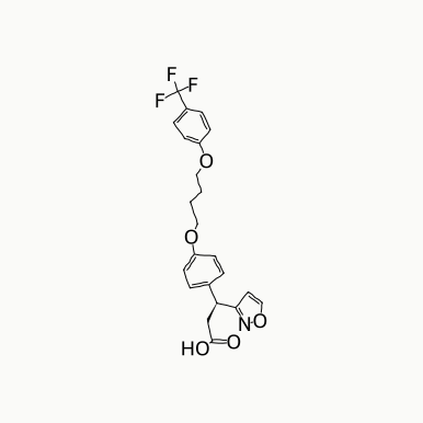 O=C(O)C[C@@H](c1ccc(OCCCCOc2ccc(C(F)(F)F)cc2)cc1)c1ccon1